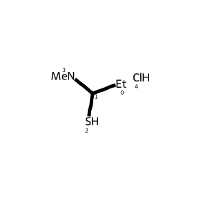 CCC(S)NC.Cl